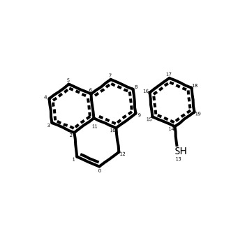 C1=Cc2cccc3cccc(c23)C1.Sc1ccccc1